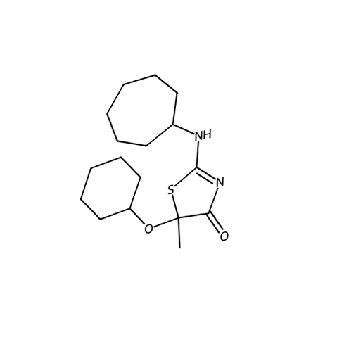 CC1(OC2CCCCC2)SC(NC2CCCCCC2)=NC1=O